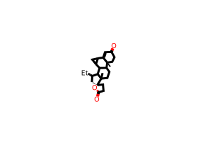 CCC1C[C@@]2(CCC(=O)O2)C2(C)CCC3C(C4CC4C4=CC(=O)CC[C@@]43C)C12